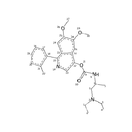 CCN(CC)CC(C)NC(=O)Oc1cnc(-c2ccccc2C)c2cc(OC)c(OC)cc12